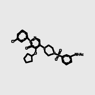 CC(=O)Nc1cccc(S(=O)(=O)N2CCN(c3cnn(-c4cccc(Cl)c4)c(=O)c3OC3CCCC3)CC2)c1